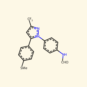 CSc1ccc(-c2cc(C(F)(F)F)nn2-c2ccc(NC=O)cc2)cc1